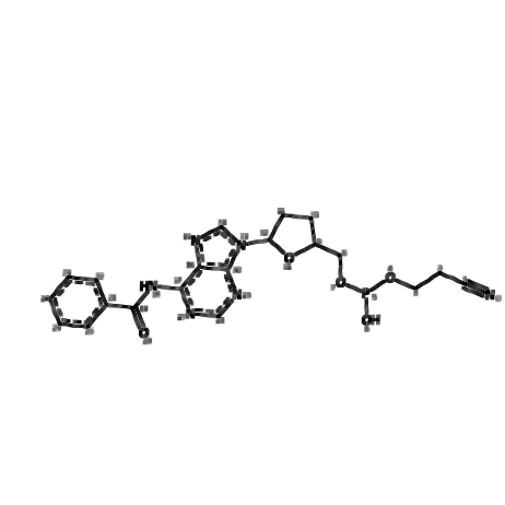 N#CCCOP(O)OCC1CCC(n2cnc3c(NC(=O)c4ccccc4)ncnc32)O1